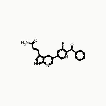 NC(=O)/C=C/c1c[nH]c2ncc(-c3cnc(C(=O)c4ccccc4)c(F)c3)cc12